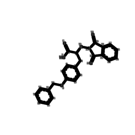 O=C(O)C(Cc1ccc(OCc2ccccc2)cc1)ON1C(=O)c2ccccc2C1=O